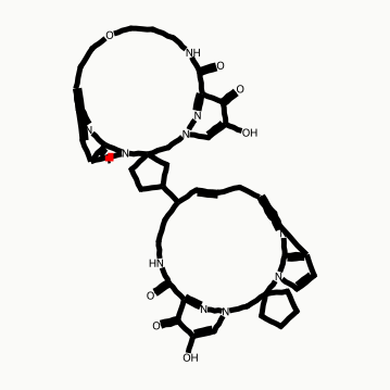 O=C1NCCC(C2CCC3(C2)Cn2cc(O)c(=O)c(n2)C(=O)NCCCOCCc2cnc4c(ccn43)c2)/C=C/Cc2cnc3c(ccn3C3(CCCC3)Cn3cc(O)c(=O)c1n3)c2